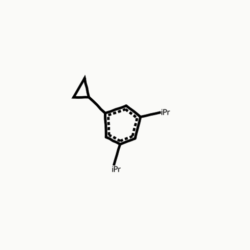 [CH2]C(C)c1cc(C(C)C)cc(C2CC2)c1